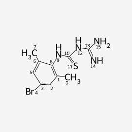 Cc1cc(Br)cc(C)c1NC(=S)NC(=N)N